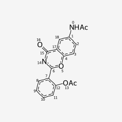 CC(=O)Nc1ccc2oc(-c3ccccc3OC(C)=O)nc(=O)c2c1